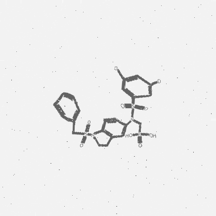 O=P(O)(O)CN(c1ccc2c(c1)CCN2S(=O)(=O)Cc1ccccc1)S(=O)(=O)c1cc(Cl)cc(Cl)c1